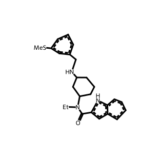 CCN(C(=O)c1cc2ccccc2[nH]1)C1CCCC(NCc2cccc(SC)c2)C1